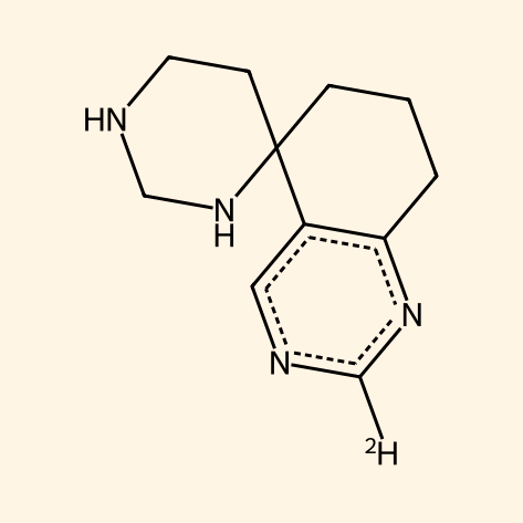 [2H]c1ncc2c(n1)CCCC21CCNCN1